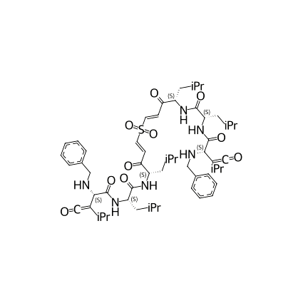 CC(C)C[C@H](NC(=O)[C@H](CC(C)C)NC(=O)[C@@H](NCc1ccccc1)C(=C=O)C(C)C)C(=O)C=CS(=O)(=O)C=CC(=O)[C@H](CC(C)C)NC(=O)[C@H](CC(C)C)NC(=O)[C@@H](NCc1ccccc1)C(=C=O)C(C)C